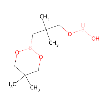 CC1(C)COB(CC(C)(C)COBO)OC1